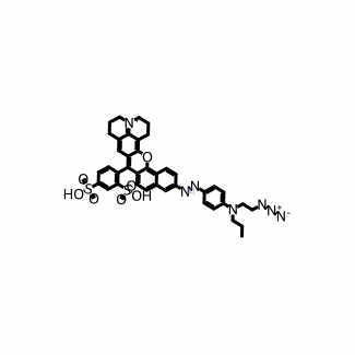 CCCN(CCN=[N+]=[N-])c1ccc(/N=N/c2ccc3c4c(ccc3c2)C(c2ccc(S(=O)(=O)O)cc2S(=O)(=O)O)=c2cc3c5c(c2O4)CCC[N+]=5CCC3)cc1